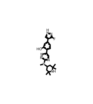 CN(c1ncc(-c2ccc(-c3c[nH]nc3F)cc2O)nn1)C1CC(C)(C)NC(C)(C)C1